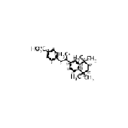 CC(Cc1ccc(C(=O)O)cc1)c1ccc2c(c1)C(C)(C)CCC2(C)C